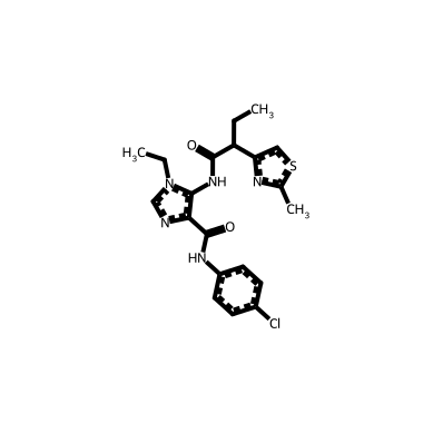 CCC(C(=O)Nc1c(C(=O)Nc2ccc(Cl)cc2)ncn1CC)c1csc(C)n1